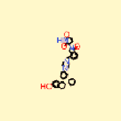 O=C1CCC(N2Cc3c(CN4CCN(c5ccc([C@H]6c7ccc(O)cc7CC[C@H]6c6ccccc6)cc5)CC4)cccc3C2=O)C(=O)N1